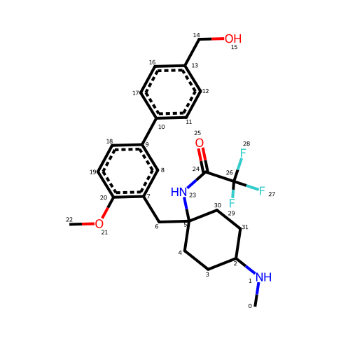 CNC1CCC(Cc2cc(-c3ccc(CO)cc3)ccc2OC)(NC(=O)C(F)(F)F)CC1